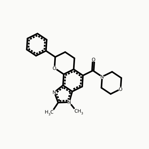 Cc1nc2c3c(c(C(=O)N4CCOCC4)cc2n1C)CCC(c1ccccc1)O3